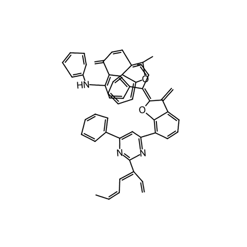 C=C/C(=C\C=C/C)c1nc(-c2ccccc2)cc(-c2cccc3c(=C)/c(=C(\C=C/C)c4ccc(Nc5ccccc5)c(C(=C)/C=C\c5c(C)oc6ccccc56)c4)oc23)n1